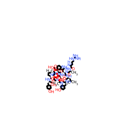 CC(C)C[C@H](NC(=O)[C@H](Cc1c[nH]c2ccccc12)NC(=O)[C@H](C)NC(=O)[C@@H](N)CCCNC(=N)N)C(=O)N[C@@H](Cc1ccc(O)cc1)C(=O)N[C@@H](C)C(=O)N1CCC[C@H]1C(=O)N[C@@H](CCC(=O)O)C(=O)N[C@@H](CO)C(=O)N[C@H](C(=O)N1CCC[C@H]1C(=O)N[C@@H](Cc1ccc(O)cc1)C(=O)O)[C@@H](C)O